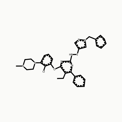 CCc1c(Oc2cccc(N3CCN(C)CC3)c2Cl)nc(NSc2cnn(Cc3ccccc3)c2)nc1-c1ccccc1